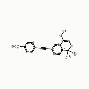 CCOC(=O)c1ccc(C#Cc2ccc3c(c2)C(SCC)=CCC3(C)C)cc1